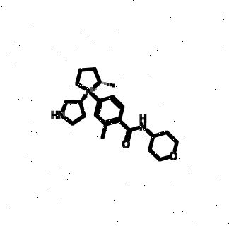 Cc1cc([N+]2([C@H]3CCNC3)CCC[C@@H]2C)ccc1C(=O)NC1CCOCC1